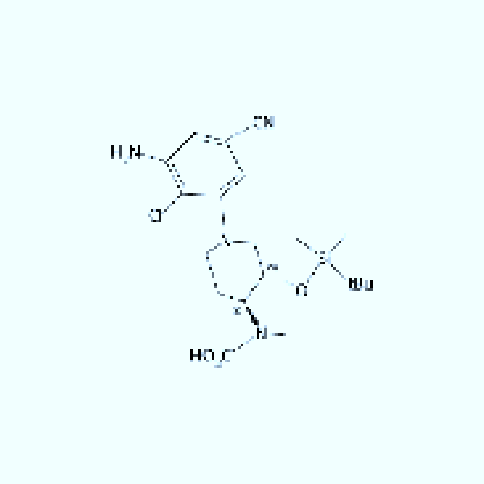 CN(C(=O)O)[C@H]1CCN(c2cc(C#N)cc(N)c2Cl)C[C@@H]1O[Si](C)(C)C(C)(C)C